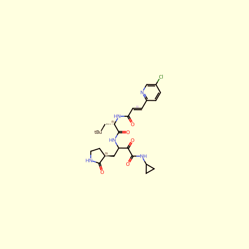 CC(C)(C)C[C@H](NC(=O)/C=C/c1ccc(Cl)cn1)C(=O)NC(C[C@@H]1CCNC1=O)C(=O)C(=O)NC1CC1